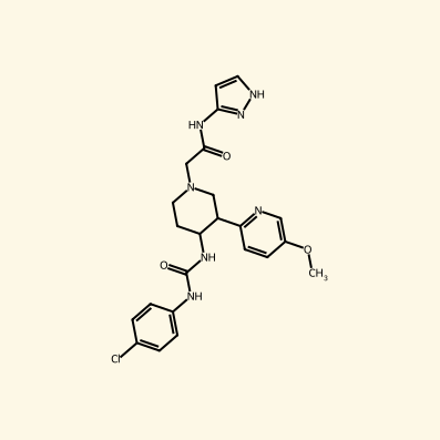 COc1ccc(C2CN(CC(=O)Nc3cc[nH]n3)CCC2NC(=O)Nc2ccc(Cl)cc2)nc1